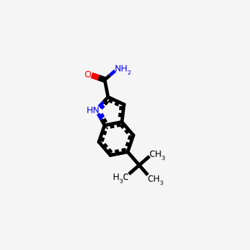 CC(C)(C)c1ccc2[nH]c(C(N)=O)cc2c1